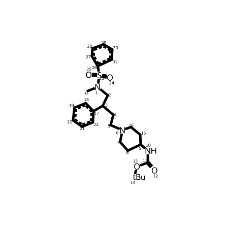 CN(CC(CCN1CCC(NC(=O)OC(C)(C)C)CC1)c1ccccc1)S(=O)(=O)c1ccccc1